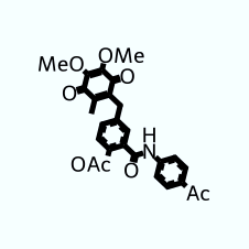 COC1=C(OC)C(=O)C(Cc2ccc(OC(C)=O)c(C(=O)Nc3ccc(C(C)=O)cc3)c2)=C(C)C1=O